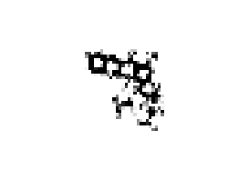 COc1cc2c(c3c1c(=O)c1cc4ccccc4nc1n3C)[C@@H](OC(=O)N(C)C)[C@@H](OC(=O)N(C)C)C(C)(C)O2